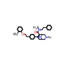 CC(=O)N1CC2CC(c3ccc(CCOc4ccccc4C(C)(C)C)cc3)=C(C(=O)N(C)CCc3ccccc3)C(C1)N2